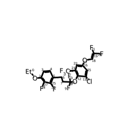 CCOc1ccc(CCC(F)(F)Oc2c(Cl)cc(OC=C(F)F)cc2C(F)(F)F)c(F)c1F